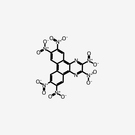 O=[N+]([O-])c1cc2c3cc([N+](=O)[O-])c([N+](=O)[O-])cc3c3nc([N+](=O)[O-])c([N+](=O)[O-])nc3c2cc1[N+](=O)[O-]